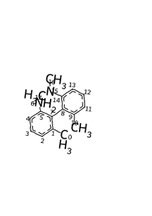 Cc1cccc(N)c1-c1c(C)cccc1N(C)C